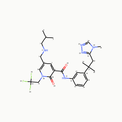 CC(C)CNCc1cc(C(=O)Nc2cccc(C(C)(C)Cc3nncn3C)c2)c(=O)n(CC(F)(F)F)c1